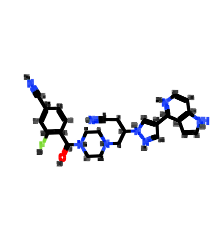 N#CCC(CN1CCN(C(=O)c2ccc(C#N)cc2F)CC1)n1cc(-c2nccc3[nH]ccc23)cn1